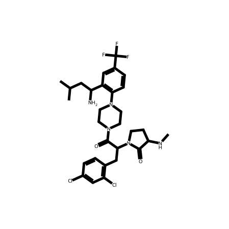 CNC1CCN(C(Cc2ccc(Cl)cc2Cl)C(=O)N2CCN(c3ccc(C(F)(F)F)cc3C(N)CC(C)C)CC2)C1=O